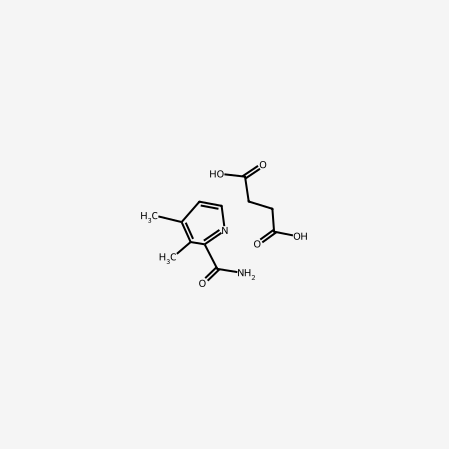 Cc1ccnc(C(N)=O)c1C.O=C(O)CCC(=O)O